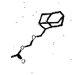 CC(=O)OCOCC1C2CC3CC(C2)CC1C3